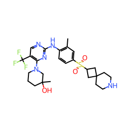 Cc1cc(S(=O)(=O)C2CC3(CCNCC3)C2)ccc1Nc1ncc(C(F)(F)F)c(N2CCCC(C)(O)C2)n1